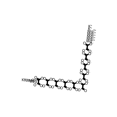 O=C([O-])C(=O)[O-].O=C([O-])C(=O)[O-].O=C([O-])C(=O)[O-].O=C([O-])C(=O)[O-].O=C([O-])C(=O)[O-].O=C([O-])C(=O)[O-].O=C([O-])C(=O)[O-].O=C([O-])C(=O)[O-].O=C([O-])C(=O)[O-].O=C([O-])C(=O)[O-].[K+].[K+].[K+].[K+].[Mg+2].[Mg+2].[Mg+2].[Mg+2].[Mg+2].[Mg+2].[Mg+2].[Mg+2]